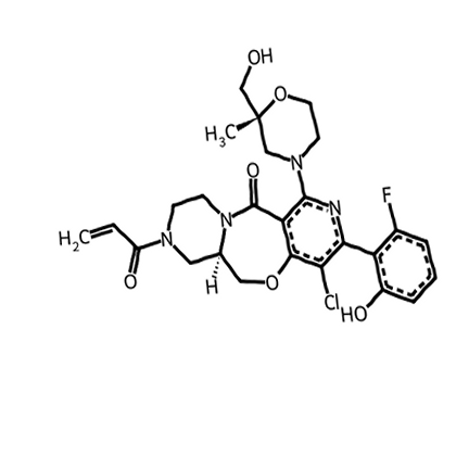 C=CC(=O)N1CCN2C(=O)c3c(N4CCO[C@@](C)(CO)C4)nc(-c4c(O)cccc4F)c(Cl)c3OC[C@H]2C1